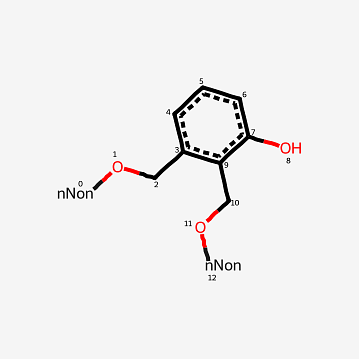 CCCCCCCCCOCc1cccc(O)c1COCCCCCCCCC